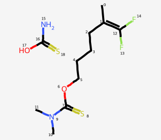 CC(CCCCOC(=S)N(C)C)=C(F)F.NC(O)=S